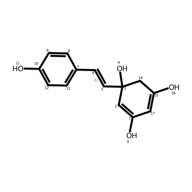 OC1=CC(O)(/C=C/c2ccc(O)cc2)CC(O)=C1